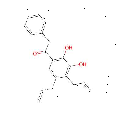 C=CCc1cc(C(=O)Cc2ccccc2)c(O)c(O)c1CC=C